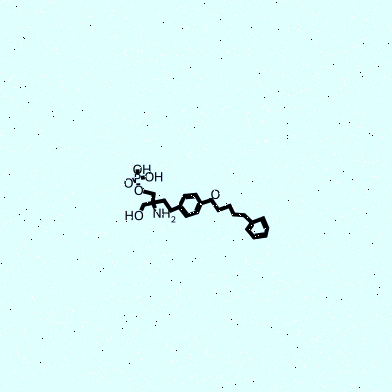 NC(CO)(CCc1ccc(C(=O)CCCCc2ccccc2)cc1)COP(=O)(O)O